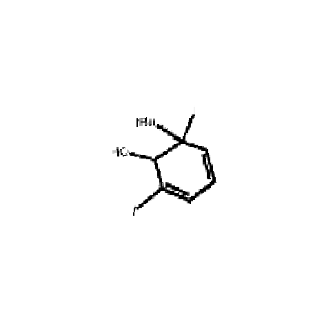 CC(C)(C)C1(I)C=CC=C(I)C1O